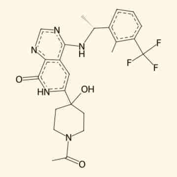 CC(=O)N1CCC(O)(c2cc3c(N[C@H](C)c4cccc(C(F)(F)F)c4C)ncnc3c(=O)[nH]2)CC1